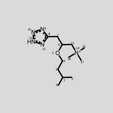 CC(C)CCOC(Cc1nn[nH]n1)C[N+](C)(C)C